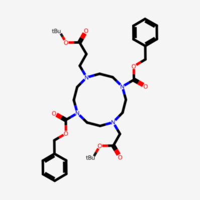 CC(C)(C)OC(=O)CCN1CCN(C(=O)OCc2ccccc2)CCN(CC(=O)OC(C)(C)C)CCN(C(=O)OCc2ccccc2)CC1